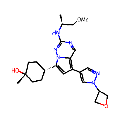 COC[C@H](C)Nc1ncc2c(-c3cnn(C4COC4)c3)cc([C@H]3CC[C@@](C)(O)CC3)n2n1